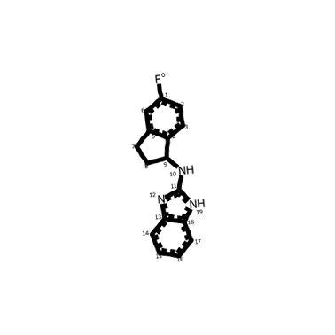 Fc1ccc2c(c1)CCC2Nc1nc2ccccc2[nH]1